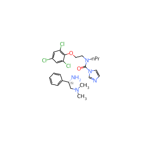 CCCN(CCOc1c(Cl)cc(Cl)cc1Cl)C(=O)n1ccnc1.CN(C)C[C@@H](N)c1ccccc1